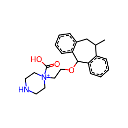 CC1Cc2ccccc2C(OCC[N+]2(C(=O)O)CCNCC2)c2ccccc21